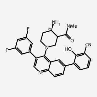 CNC(=O)C1CN(c2c(-c3cc(F)cc(F)c3)cnc3ccc(-c4cccc(C#N)c4O)cc23)CC[C@H]1N